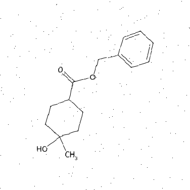 CC1(O)CCC(C(=O)OCc2ccccc2)CC1